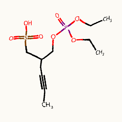 CC#CC(COP(=O)(OCC)OCC)CS(=O)(=O)O